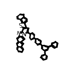 c1ccc(-c2cc(-c3ccccc3)cc(-c3ccc(-c4ccc(-c5cc6c7ccc8ccccc8c7sc6c6nc7cc8cc9ccccc9cc8cc7n56)cc4)cc3)c2)cc1